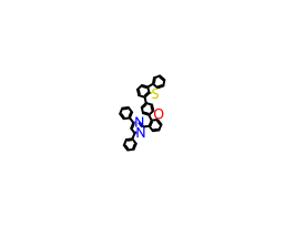 c1ccc(-c2cc(-c3ccccc3)nc(-c3cccc4oc5cc(-c6cccc7c6sc6ccccc67)ccc5c34)n2)cc1